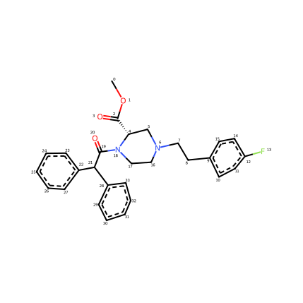 COC(=O)[C@@H]1CN(CCc2ccc(F)cc2)CCN1C(=O)C(c1ccccc1)c1ccccc1